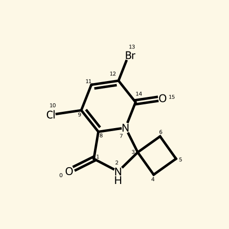 O=C1NC2(CCC2)n2c1c(Cl)cc(Br)c2=O